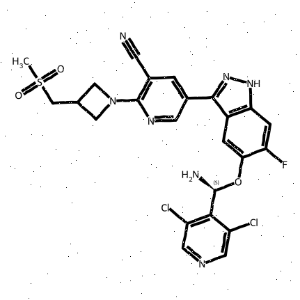 CS(=O)(=O)CC1CN(c2ncc(-c3n[nH]c4cc(F)c(O[C@H](N)c5c(Cl)cncc5Cl)cc34)cc2C#N)C1